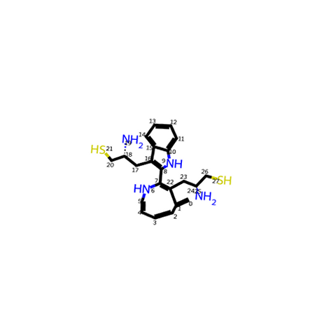 C=C1/C=C\C=C/N/C(c2[nH]c3ccccc3c2C[C@@H](N)CS)=C\1C[C@@H](N)CS